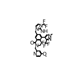 COc1ccnc(CN2CCc3c(cc(Cn4ccn(C(F)F)c4=N)cc3-c3cn(C)nc3C(F)(F)F)C2=O)c1